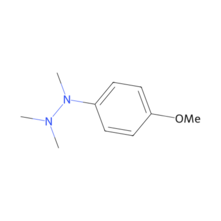 COc1ccc(N(C)N(C)C)cc1